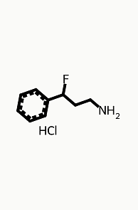 Cl.NCCC(F)c1ccccc1